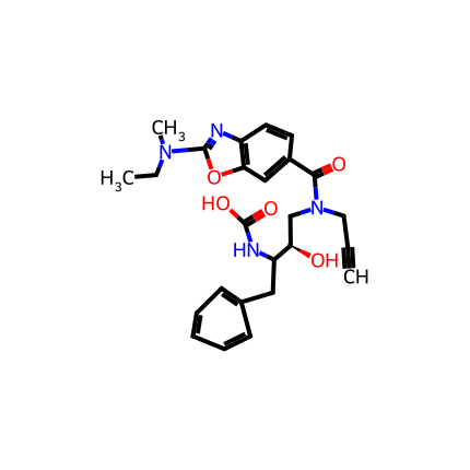 C#CCN(C[C@@H](O)C(Cc1ccccc1)NC(=O)O)C(=O)c1ccc2nc(N(C)CC)oc2c1